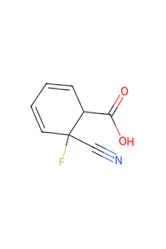 N#CC1(F)C=CC=CC1C(=O)O